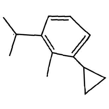 C[C](C)c1cccc(C2CC2)c1C